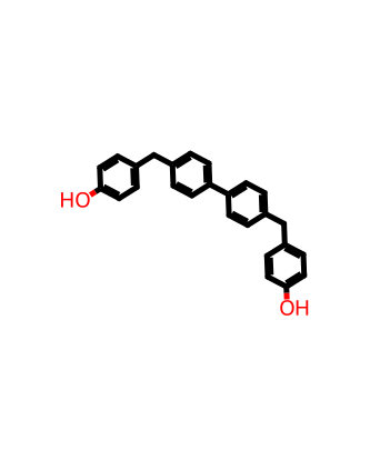 Oc1ccc(Cc2ccc(-c3ccc(Cc4ccc(O)cc4)cc3)cc2)cc1